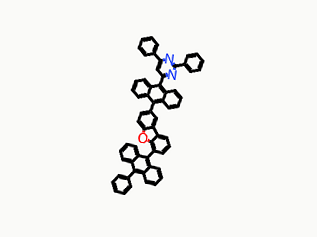 c1ccc(-c2cc(-c3c4ccccc4c(-c4ccc5oc6c(-c7c8ccccc8c(-c8ccccc8)c8ccccc78)cccc6c5c4)c4ccccc34)nc(-c3ccccc3)n2)cc1